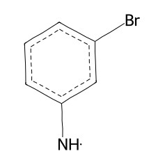 [NH]c1cccc(Br)c1